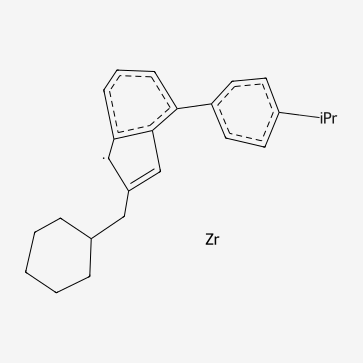 CC(C)c1ccc(-c2cccc3c2C=C(CC2CCCCC2)[CH]3)cc1.[Zr]